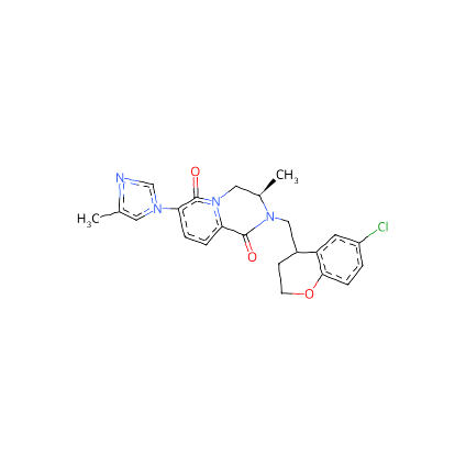 Cc1cn(-c2ccc3n(c2=O)C[C@@H](C)N(CC2CCOc4ccc(Cl)cc42)C3=O)cn1